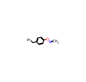 C=NOc1ccc(CC(C)C)cc1